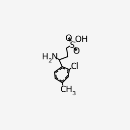 Cc1ccc(C(N)CCS(=O)(=O)O)c(Cl)c1